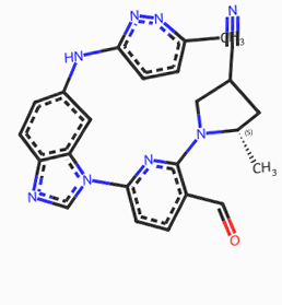 Cc1ccc(Nc2ccc3ncn(-c4ccc(C=O)c(N5CC(C#N)C[C@@H]5C)n4)c3c2)nn1